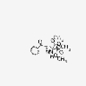 COC(=O)C1(P(=O)(OC)OC)CC(C(=O)c2ccccc2)=NN1